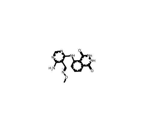 CO/N=C/c1c(N)ncnc1Nc1cccc2c(=O)[nH][nH]c(=O)c12